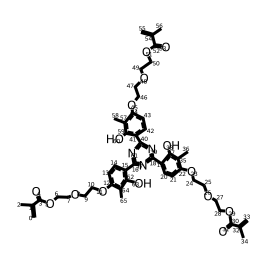 C=C(C)C(=O)OCCOCCOc1ccc(-c2nc(-c3ccc(OCCOCCOC(=O)C(=C)C)c(C)c3O)nc(-c3ccc(OCCOCCOC(=O)C(=C)C)c(C)c3O)n2)c(O)c1C